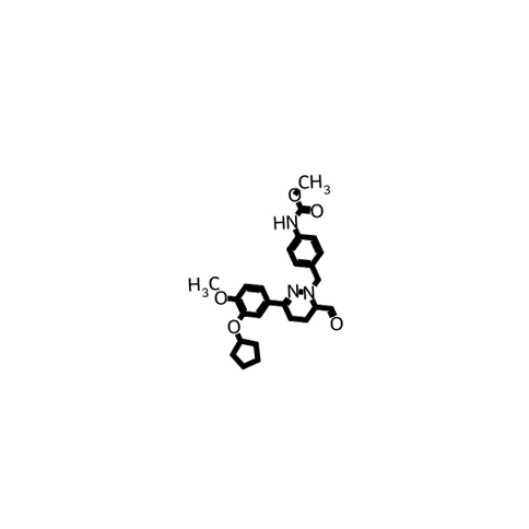 COC(=O)Nc1ccc(CN2N=C(c3ccc(OC)c(OC4CCCC4)c3)CCC2C=O)cc1